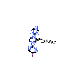 COC[C@H]1CN(c2ncc(I)cn2)CCN1c1ncncn1